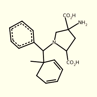 CC1(C(c2ccccc2)N2CC(N)(C(=O)O)CC2C(=O)O)C=CC=CC1